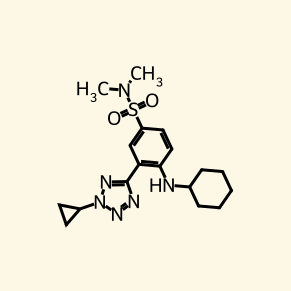 CN(C)S(=O)(=O)c1ccc(NC2CCCCC2)c(-c2nnn(C3CC3)n2)c1